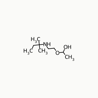 CCC(C)(C)NCCOC(C)O